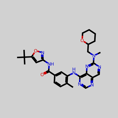 Cc1ccc(C(=O)Nc2cc(C(C)(C)C)on2)cc1Nc1ncnc2cnc(N(C)CC3CCCCO3)nc12